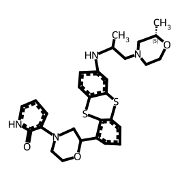 CC(CN1CCO[C@@H](C)C1)Nc1ccc2c(c1)Sc1cccc(C3CN(c4ccc[nH]c4=O)CCO3)c1S2